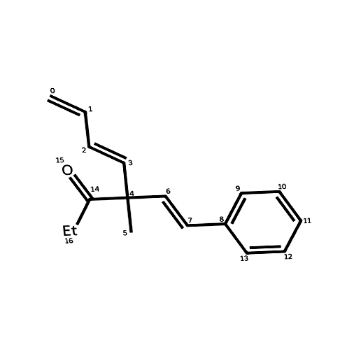 C=CC=CC(C)(C=Cc1ccccc1)C(=O)CC